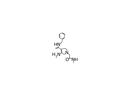 C=C(NCc1ccccc1)C1=C(N)CN(CC(=O)NC)CC1